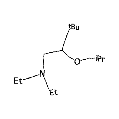 CCN(CC)CC(OC(C)C)C(C)(C)C